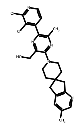 Cc1cnc2c(c1)CC1(CCN(c3nc(C)c(-c4ccnc(Cl)c4Cl)nc3CO)CC1)C2